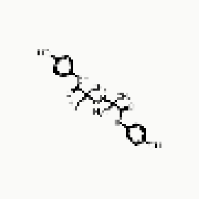 CC(C)(N=NC(C)(C)C(=O)Nc1ccc(O)cc1)C(=O)Nc1ccc(O)cc1